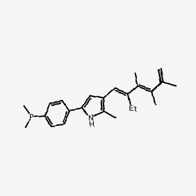 C=C(C)/C(C)=C(C)/C(=C/c1cc(-c2ccc(P(C)C)cc2)[nH]c1C)CC